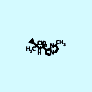 Cc1ccn2ccc(C(=O)NC(C)(C)C3CC3)c2n1